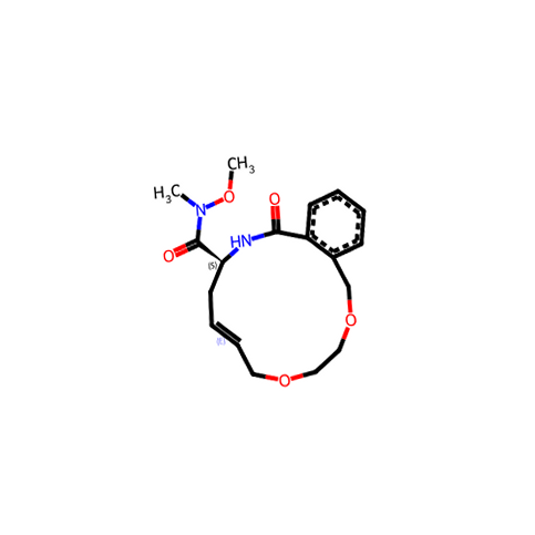 CON(C)C(=O)[C@@H]1C/C=C/COCCOCc2ccccc2C(=O)N1